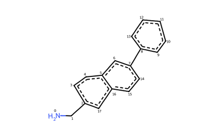 NCc1ccc2cc(-c3ccccc3)ccc2c1